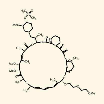 COCCOCCO[C@H]1C[C@@H]2CC[C@@H](C)[C@](O)(CC(=O)C(=O)N3CCCC[C@H]3C(=O)O[C@H]([C@H](C)C[C@@H]3CC[C@@H](OP(C)(C)=O)[C@H](OC)C3)CC(=O)[C@H](C)/C=C(\C)[C@@H](OC)[C@@H](OC)C(=O)[C@H](C)C[C@H](C)/C=C/C=C/C=C/1C)O2